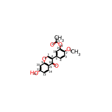 COc1ccc(-c2coc3cc(O)ccc3c2=O)cc1OC(C)=O